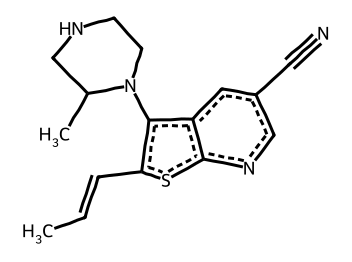 CC=Cc1sc2ncc(C#N)cc2c1N1CCNCC1C